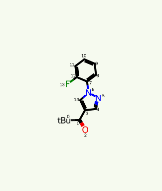 CC(C)(C)C(=O)c1cnn(-c2ccccc2F)c1